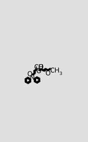 CCC(=O)C=CC(=O)O[C@H](C)C=CC(=O)N(c1ccccc1)c1ccccc1